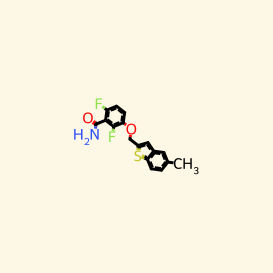 Cc1ccc2sc(COc3ccc(F)c(C(N)=O)c3F)cc2c1